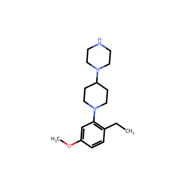 CCc1ccc(OC)cc1N1CCC(N2CCNCC2)CC1